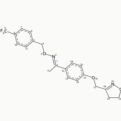 C/C(=N\OCc1ccc(C(F)(F)F)cc1)c1ccc(OCC2=NOCC2)cc1